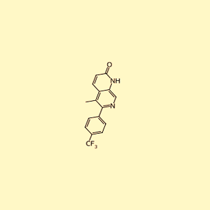 Cc1c(-c2ccc(C(F)(F)F)cc2)ncc2[nH]c(=O)ccc12